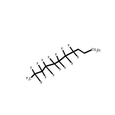 CCOC(=O)CCC(F)(F)C(F)(F)C(F)(F)C(F)(F)C(F)(F)C(F)(F)C(F)(F)C(F)(F)F